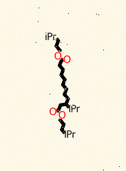 CC(C)CCCOC(=O)CCCCCCCCC(CC(=O)OCCCC(C)C)C(C)C